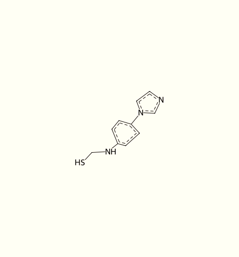 SCNc1ccc(-n2ccnc2)cc1